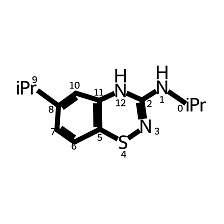 CC(C)NC1=NSc2ccc(C(C)C)cc2N1